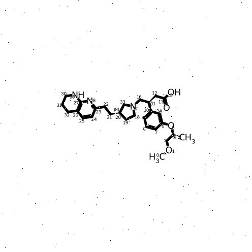 COC[C@@H](C)Oc1cccc([C@H](CC(=O)O)CN2CC[C@@H](CCc3ccc4c(n3)NCCC4)C2)c1